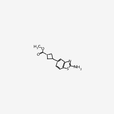 COC(=O)C1CC(c2ccc3sc(N)nc3c2)C1